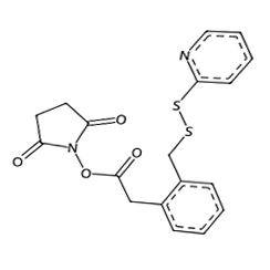 O=C(Cc1ccccc1CSSc1ccccn1)ON1C(=O)CCC1=O